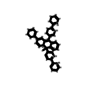 CC1(c2ccc(-c3ccccn3)nc2)c2ccccc2C(C2=CN=C(C3=NC=CCC3)CC2)=C2C=C(C3=CC=CCC3)C=CC21